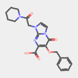 O=C(O)c1nc2n(CC(=O)N3CCCCC3)ccn2c(=O)c1OCc1ccccc1